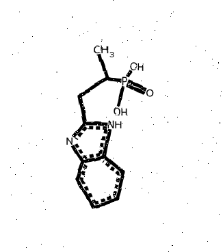 CC(Cc1nc2ccccc2[nH]1)P(=O)(O)O